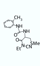 CCN(C#N)C(=O)C(CSC)NC(=O)Nc1ccccc1C